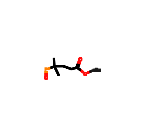 CCCCOC(=O)CCC(C)(C)P=O